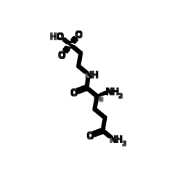 NC(=O)CC[C@H](N)C(=O)NCCS(=O)(=O)O